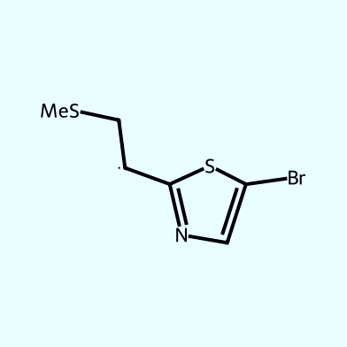 CSC[CH]c1ncc(Br)s1